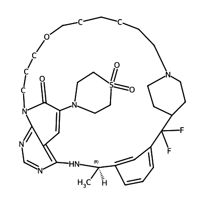 C[C@H]1Nc2ncnc3c2cc(N2CCS(=O)(=O)CC2)c(=O)n3CCCOCCCCCCN2CCC(CC2)C(F)(F)c2cccc1c2